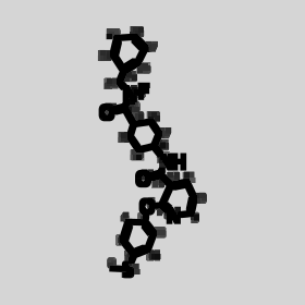 CSc1ccc(Oc2ncccc2C(=O)NC2CCC(C(=O)N(F)Cc3ccccc3)CC2)cc1